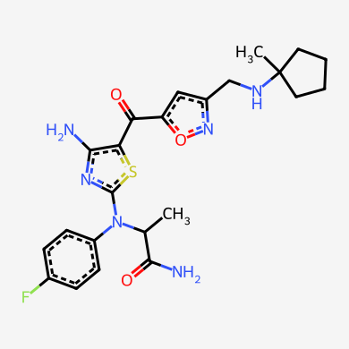 CC(C(N)=O)N(c1ccc(F)cc1)c1nc(N)c(C(=O)c2cc(CNC3(C)CCCC3)no2)s1